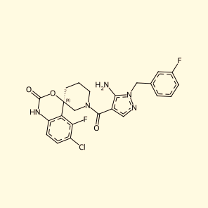 Nc1c(C(=O)N2CCC[C@@]3(C2)OC(=O)Nc2ccc(Cl)c(F)c23)cnn1Cc1cccc(F)c1